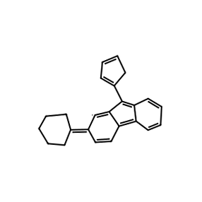 [c]1c2c(ccc1=C1CCCCC1)=c1ccccc1=C2C1=CC=CC1